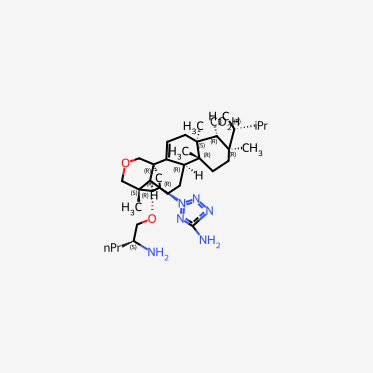 CCC[C@H](N)CO[C@H]1[C@H](n2nnc(N)n2)C[C@@]23COC[C@]1(C)[C@@H]2CC[C@H]1C3=CC[C@@]2(C)[C@H](C(=O)O)[C@@](C)([C@H](C)C(C)C)CC[C@]12C